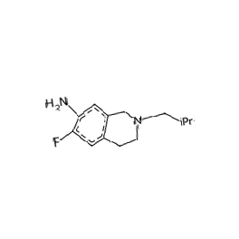 C[C](C)CN1CCc2cc(F)c(N)cc2C1